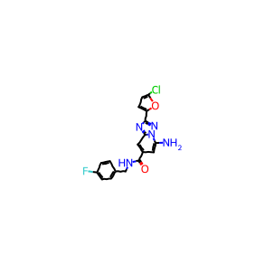 Nc1cc(C(=O)NCc2ccc(F)cc2)cc2nc(-c3ccc(Cl)o3)nn12